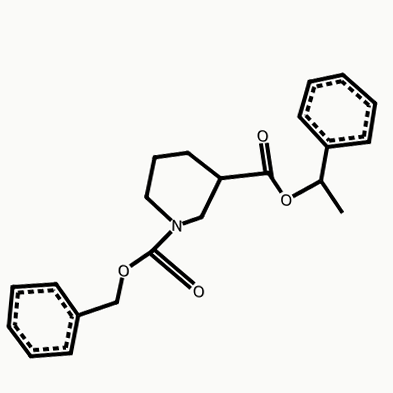 CC(OC(=O)C1CCCN(C(=O)OCc2ccccc2)C1)c1ccccc1